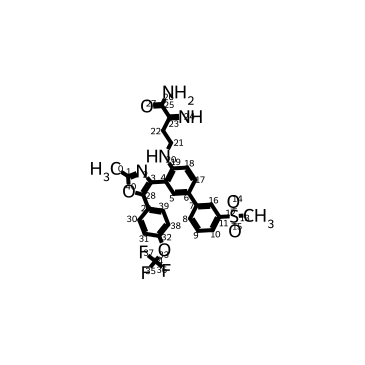 Cc1nc(-c2cc(-c3cccc(S(C)(=O)=O)c3)ccc2NCCC(=N)C(N)=O)c(-c2ccc(OC(F)(F)F)cc2)o1